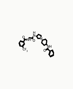 O=C(CNC(=O)c1cccc(C(F)(F)F)c1)N[C@@H]1CCN(C2CCC(NC(=O)c3ccccc3)CC2)C1